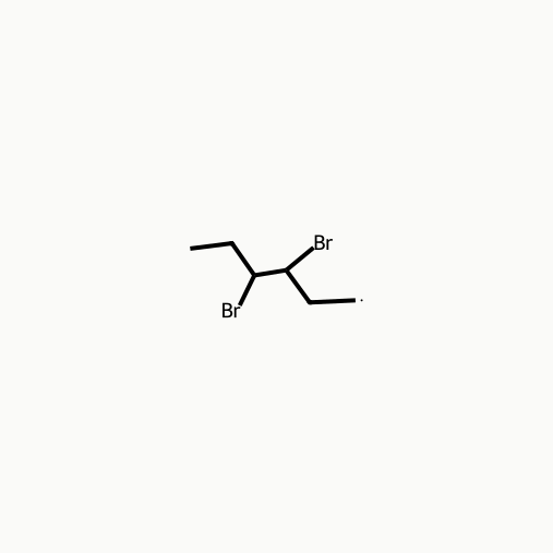 [CH2]CC(Br)C(Br)CC